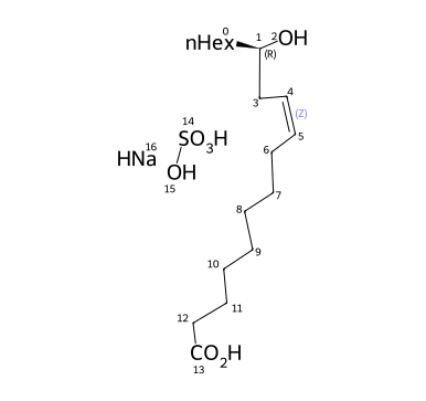 CCCCCC[C@@H](O)C/C=C\CCCCCCCC(=O)O.O=S(=O)(O)O.[NaH]